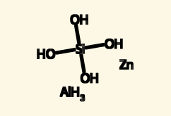 O[Si](O)(O)O.[AlH3].[Zn]